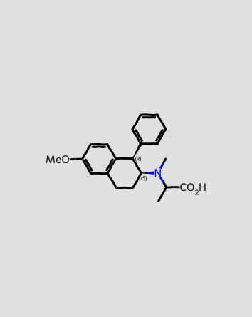 COc1ccc2c(c1)CC[C@H](N(C)C(C)C(=O)O)[C@@H]2c1ccccc1